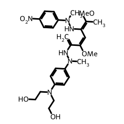 C=C(NN(C)c1ccc(N(CCO)CCO)cc1)/C(=C\C(NN(C)c1ccc([N+](=O)[O-])cc1)=C(/C)OC)OC